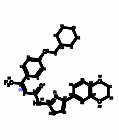 O=C(/C=C(\c1ccc(OCC2CCCCC2)cc1)C(F)(F)F)Nc1nc(-c2ccc3c(c2)OCCO3)cs1